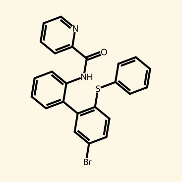 O=C(Nc1ccccc1-c1cc(Br)ccc1Sc1ccccc1)c1ccccn1